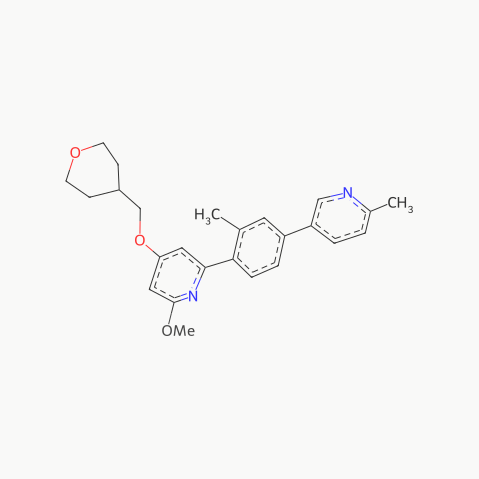 COc1cc(OCC2CCOCC2)cc(-c2ccc(-c3ccc(C)nc3)cc2C)n1